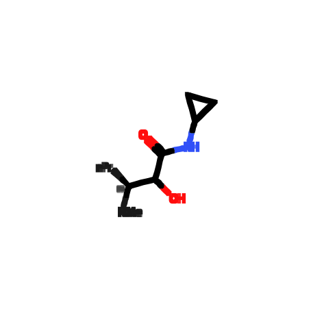 CCC[C@H](NC)C(O)C(=O)NC1CC1